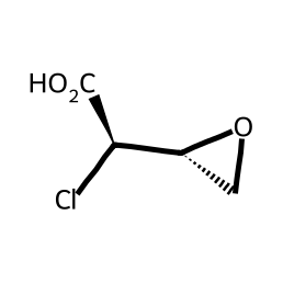 O=C(O)[C@H](Cl)[C@H]1CO1